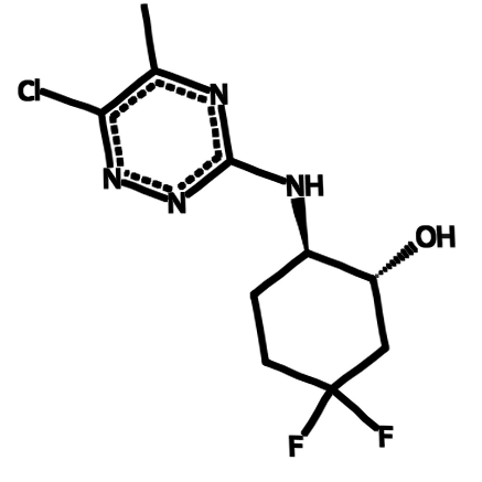 Cc1nc(N[C@@H]2CCC(F)(F)C[C@H]2O)nnc1Cl